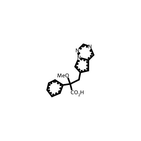 COC(Cc1cc2cncnn2c1)(C(=O)O)c1ccccc1